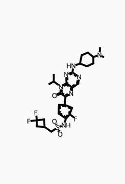 CC(C)n1c(=O)c(-c2ccc(NS(=O)(=O)CC3CC(F)(F)C3)c(F)c2)nc2cnc(NC3CCC(N(C)C)CC3)nc21